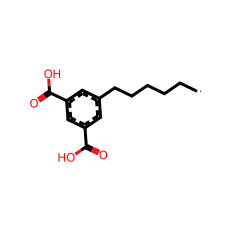 [CH2]CCCCCc1cc(C(=O)O)cc(C(=O)O)c1